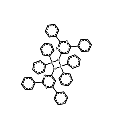 c1ccc(-c2cc(N3[Si](c4ccccc4)(c4ccccc4)N(c4cc(-c5ccccc5)nc(-c5ccccc5)n4)[Si]3(c3ccccc3)c3ccccc3)nc(-c3ccccc3)n2)cc1